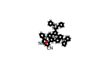 N#Cc1cc(C#N)cc(-c2ccc3c(c2)c2ccccc2n3-c2c(-c3ccc(-n4c5ccccc5c5ccccc54)cc3)cc(-c3cc(-c4ccccc4)nc(-c4ccccc4)n3)cc2-c2ccc(-n3c4ccccc4c4ccccc43)cc2)c1